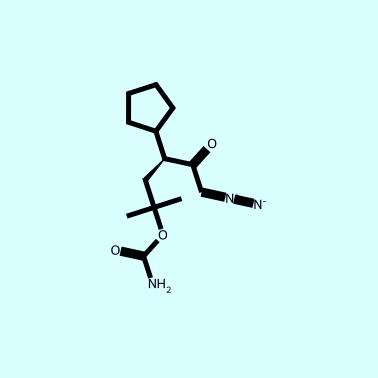 CC(C)(C[C@H](C(=O)C=[N+]=[N-])C1CCCC1)OC(N)=O